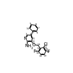 Nc1ncc(-c2c[c]ccc2)cc1OCc1c(F)ccc(F)c1Cl